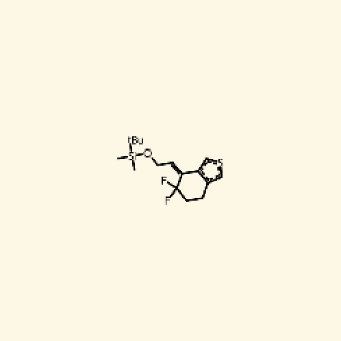 CC(C)(C)[Si](C)(C)OCC=C1c2cscc2CCC1(F)F